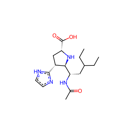 CCC(CC)C[C@H](NC(C)=O)[C@@H]1N[C@@H](C(=O)O)C[C@H]1c1ncc[nH]1